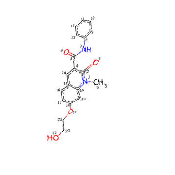 Cn1c(=O)c(C(=O)Nc2ccccc2)cc2ccc(OCCO)cc21